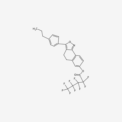 CCCc1ccc(-c2onc3c2CCc2cc(OS(=O)C(F)(F)C(F)(F)C(F)(F)C(F)(F)F)ccc2-3)cc1